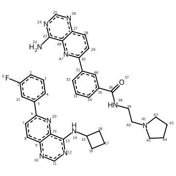 Fc1cccc(-c2ccc3ncnc(NC4CCC4)c3n2)c1.Nc1ncnc2ccc(-c3cccc(C(=O)NCCN4CCCC4)c3)nc12